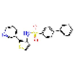 O=S(=O)(Nc1ccsc1-c1cccnc1)c1ccc(-c2ccccc2)cc1